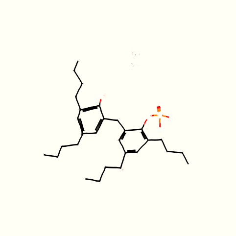 CCCCc1cc(CCCC)c(O)c(Cc2cc(CCCC)cc(CCCC)c2OP(=O)([O-])[O-])c1.[Na+].[Na+]